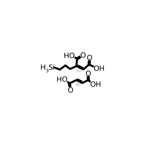 O=C(O)/C=C(/CCC[SiH3])C(=O)O.O=C(O)/C=C/C(=O)O